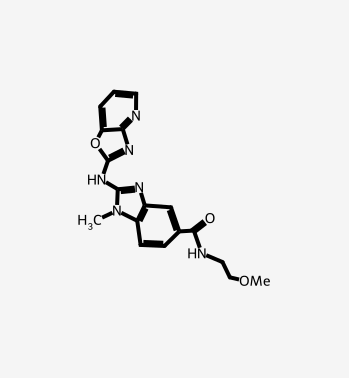 COCCNC(=O)c1ccc2c(c1)nc(Nc1nc3ncccc3o1)n2C